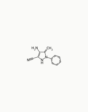 C=C1C(N)=C(C#N)NN1c1ccccc1